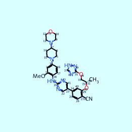 COc1cc(N2CCC(N3CCOCC3)CC2)ccc1Nc1ncc(-c2ccc(C#N)c(O[C@@H](C)COc3nc[nH]n3)c2)cn1